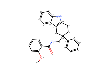 COc1ccccc1C(=O)NCC1(c2ccccc2)CCc2[nH]c3ccccc3c2C1